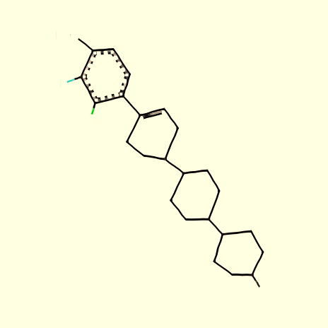 CCC1CCC(C2CCC(C3CC=C(c4ccc(C)c(F)c4Cl)CC3)CC2)CC1